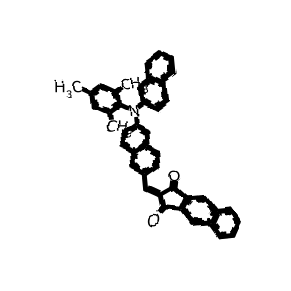 Cc1cc(C)c(N(c2ccc3ccccc3c2)c2ccc3cc(C=C4C(=O)c5cc6ccccc6cc5C4=O)ccc3c2)c(C)c1